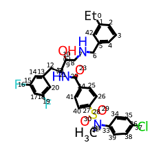 CCc1cccc(CNC[C@H](O)[C@H](Cc2cc(F)cc(F)c2)NC(=O)c2ccc(S(=O)(=O)N(C)c3ccc(Cl)cc3)cc2)c1